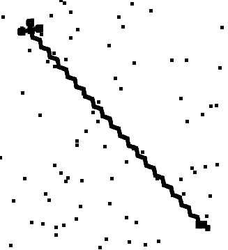 NCCCCCCCCCCCCCCCCCCCCCCCCCCCCCCCCCCCCCC[Si](Cl)(Cl)Cl